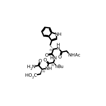 CCCC[C@H](NC(=O)[C@H](Cc1c[nH]c2ccccc12)NC(=O)CNC(C)=O)C(=O)N[C@@H](CC(=O)O)C(N)=O